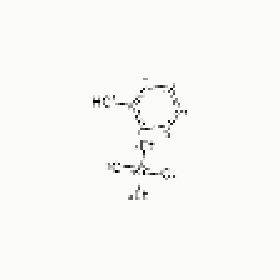 CCS(=O)(=O)CC.Oc1ccccc1